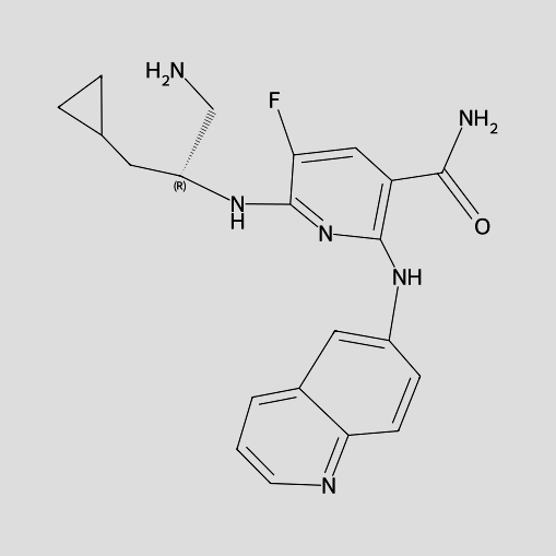 NC[C@@H](CC1CC1)Nc1nc(Nc2ccc3ncccc3c2)c(C(N)=O)cc1F